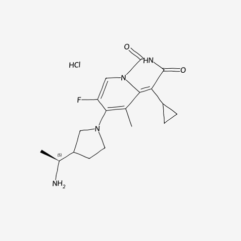 Cc1c(N2CCC([C@H](C)N)C2)c(F)cn2c(=O)[nH]c(=O)c(C3CC3)c12.Cl